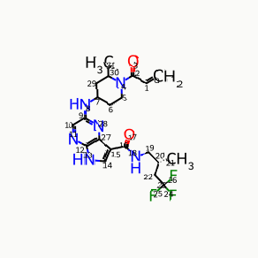 C=CC(=O)N1CCC(Nc2cnc3[nH]cc(C(=O)NC[C@H](C)CC(F)(F)F)c3n2)CC1C